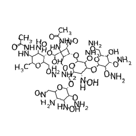 CC(=O)NNC1C(NO)[C@H](O[C@H](O)C2(NNC(C)=O)C(CON)[C@@H](O[C@@H]3OC(CO[C@H]4OC(CN=O)[C@@H](N)C(NO)C4ON)[C@@H](NO)C(O[C@H]4OC(CON)[C@@H](O)C(ON)C4ON)C3ON)C2N=O)C(CON)O[C@H]1C